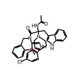 COc1ccccc1CN(C(=O)C(Cc1c[nH]c2ccccc12)(NC(C)=O)N1CC=CCC1)c1c[nH]c2ccc(Cl)cc12